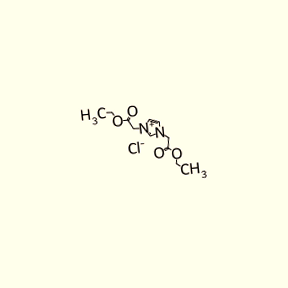 CCOC(=O)Cn1cc[n+](CC(=O)OCC)c1.[Cl-]